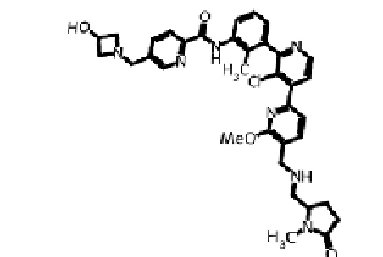 COc1nc(-c2ccnc(-c3cccc(NC(=O)c4ccc(CN5CC(O)C5)cn4)c3C)c2Cl)ccc1CNCC1CCC(=O)N1C